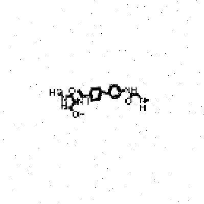 C=C(N[C@H](C(=O)NO)[C@@H](C)O)c1ccc(-c2ccc(NC(=O)CNC)cc2)cc1